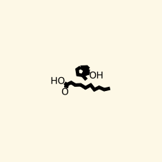 CC1(C)C2CCC1(C)C(O)C2.CCCCCCCCCC(=O)O